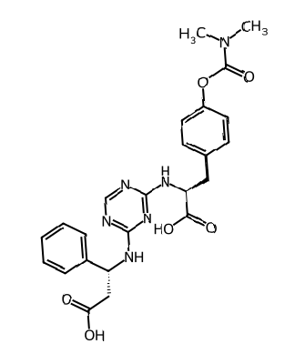 CN(C)C(=O)Oc1ccc(C[C@H](Nc2ncnc(N[C@H](CC(=O)O)c3ccccc3)n2)C(=O)O)cc1